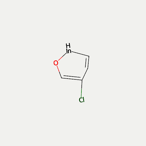 ClC1=C[O][InH][CH]=C1